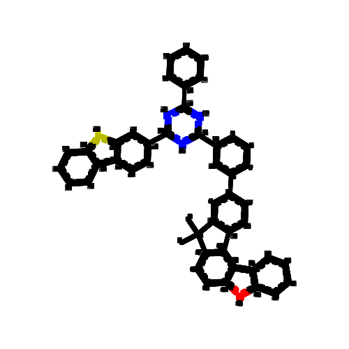 CC1(C)c2cc(-c3cccc(-c4nc(-c5ccccc5)nc(-c5ccc6c(c5)sc5ccccc56)n4)c3)ccc2-c2c1ccc1oc3ccccc3c21